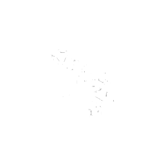 CN(C)C(=O)c1cc(Cl)c(OC(C)(C)C(=O)O)cc1OC[C@H](O)CN1CCC2(CC1)Cc1cc(Cl)ccc1O2.Cl